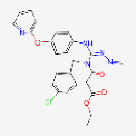 C=N/N=C(/Nc1ccc(Oc2ccccn2)cc1)N(Cc1ccc(Cl)cc1)C(=O)CC(=O)OCC